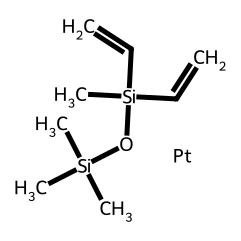 C=C[Si](C)(C=C)O[Si](C)(C)C.[Pt]